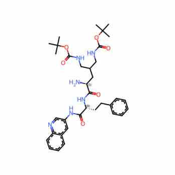 CC(C)(C)OC(=O)NCC(CNC(=O)OC(C)(C)C)C[C@H](N)C(=O)N[C@H](CCc1ccccc1)C(=O)Nc1cnc2ccccc2c1